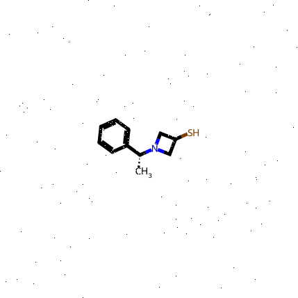 C[C@H](c1ccccc1)N1CC(S)C1